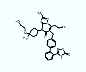 CCCc1c(Cc2ccc(-c3ccccc3-c3noc(=O)[nH]3)cc2)c(=O)n(C2CCC(C)(OCCO)CC2)c2nc(C)nn12